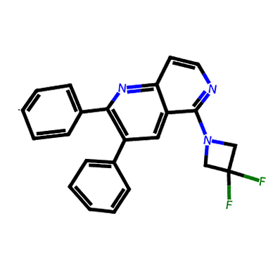 FC1(F)CN(c2nccc3nc(-c4cc[c]cc4)c(-c4ccccc4)cc23)C1